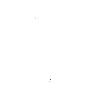 CC(=O)c1c(C)cc2c(c1C)COC2=O